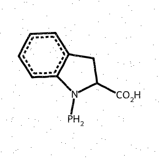 O=C(O)C1Cc2ccccc2N1P